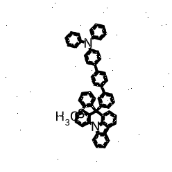 CSc1ccccc1C1(c2cccc(-c3ccc(-c4ccc(N(c5ccccc5)c5ccccc5)cc4)cc3)c2)c2ccccc2-n2c3ccccc3c3cccc1c32